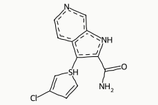 NC(=O)c1[nH]c2cnccc2c1[SH]1C=CC(Cl)=C1